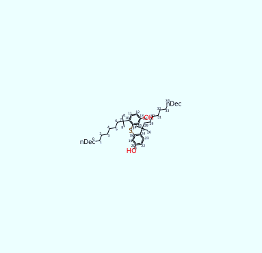 CCCCCCCCCCCCCCCCC(C)(C)c1ccc(O)cc1Sc1cc(O)ccc1C(C)(C)CCCCCCCCCCCCCCCC